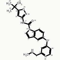 CNCc1cc(Oc2ccc3c(ccn3C(=O)Nc3cc(C(C)(C)C)on3)c2)ccn1